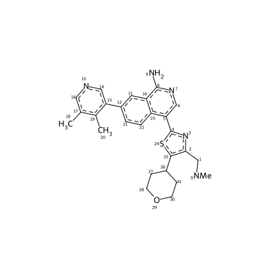 CNCc1nc(-c2cnc(N)c3cc(-c4cncc(C)c4C)ccc23)sc1C1CCOCC1